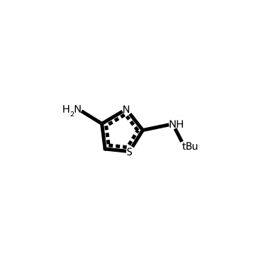 CC(C)(C)Nc1nc(N)cs1